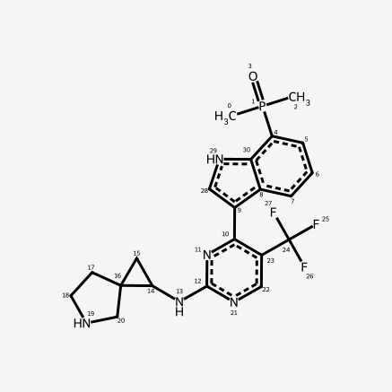 CP(C)(=O)c1cccc2c(-c3nc(NC4CC45CCNC5)ncc3C(F)(F)F)c[nH]c12